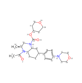 CC(=O)N1C2CCC(c3ccc(N4CCOCC4)cc3)CC2N(C(=O)OC2CCOCC2)C[C@@H]1C